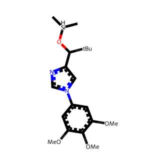 COc1cc(-n2cnc(C(O[SiH](C)C)C(C)(C)C)c2)cc(OC)c1OC